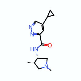 C[C@H]1CN(C)C[C@H]1NC(=O)c1cc(C2CC2)cnn1